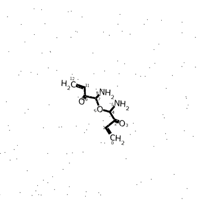 C=CC(=O)C(N)OC(N)C(=O)C=C